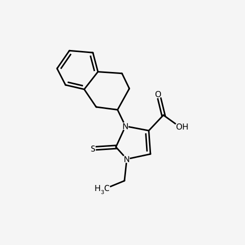 CCn1cc(C(=O)O)n(C2CCc3ccccc3C2)c1=S